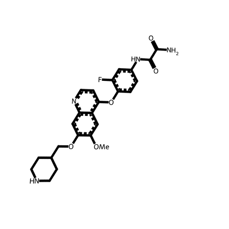 COc1cc2c(Oc3ccc(NC(=O)C(N)=O)cc3F)ccnc2cc1OCC1CCNCC1